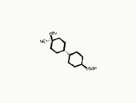 CCCCCCCCCC1CCC([C@H]2CC[C@](C#N)(CCCC)CC2)CC1